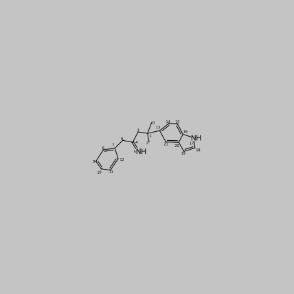 CC(C)(CC(=N)Cc1ccccc1)c1ccc2[nH]ccc2c1